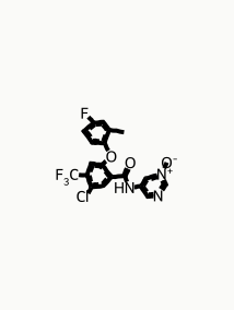 Cc1cc(F)ccc1Oc1cc(C(F)(F)F)c(Cl)cc1C(=O)Nc1cnc[n+]([O-])c1